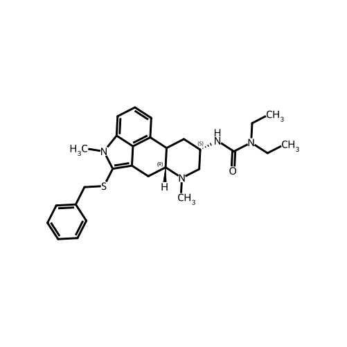 CCN(CC)C(=O)N[C@H]1CC2c3cccc4c3c(c(SCc3ccccc3)n4C)C[C@H]2N(C)C1